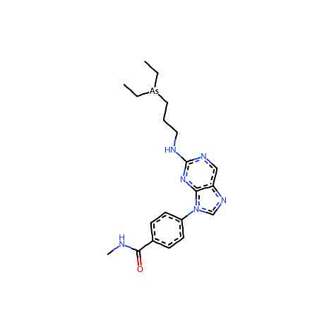 CC[As](CC)CCCNc1ncc2ncn(-c3ccc(C(=O)NC)cc3)c2n1